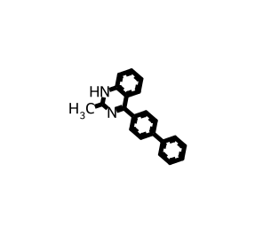 CC1N=C(c2ccc(-c3ccccc3)cc2)c2ccccc2N1